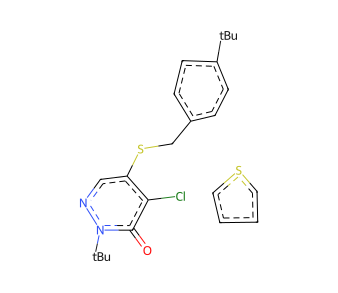 CC(C)(C)c1ccc(CSc2cnn(C(C)(C)C)c(=O)c2Cl)cc1.c1ccsc1